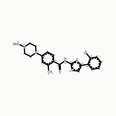 Cc1cc(N2CCN(C=O)CC2)ccc1C(=O)Nc1nc(-c2ccccc2Cl)cs1